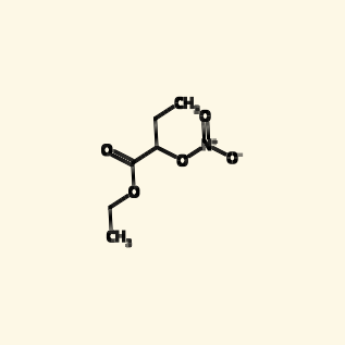 CCOC(=O)C(CC)O[N+](=O)[O-]